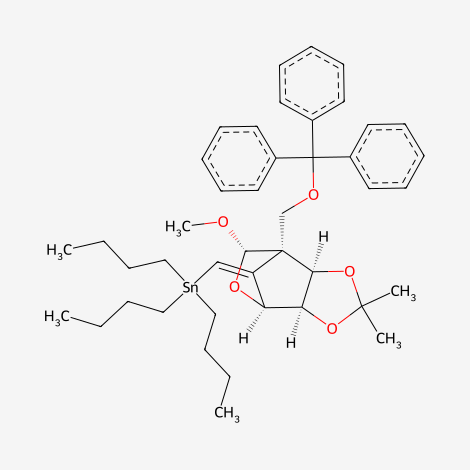 CCC[CH2][Sn](/[CH]=C1\[C@@H]2O[C@H](OC)[C@@]1(COC(c1ccccc1)(c1ccccc1)c1ccccc1)[C@H]1OC(C)(C)O[C@@H]21)([CH2]CCC)[CH2]CCC